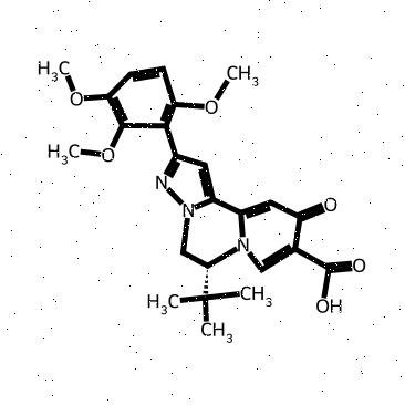 COc1ccc(OC)c(-c2cc3n(n2)C[C@@H](C(C)(C)C)n2cc(C(=O)O)c(=O)cc2-3)c1OC